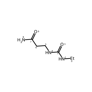 CCNC(=O)NCCC(N)=O